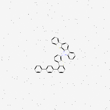 c1ccc(-c2ccc(-c3cccc4sc5c(-n6c7ccccc7c7ccc8c9ccccc9sc8c76)cccc5c34)cc2)cc1